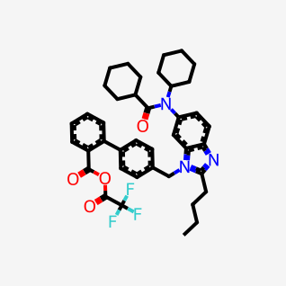 CCCCc1nc2ccc(N(C(=O)C3CCCCC3)C3CCCCC3)cc2n1Cc1ccc(-c2ccccc2C(=O)OC(=O)C(F)(F)F)cc1